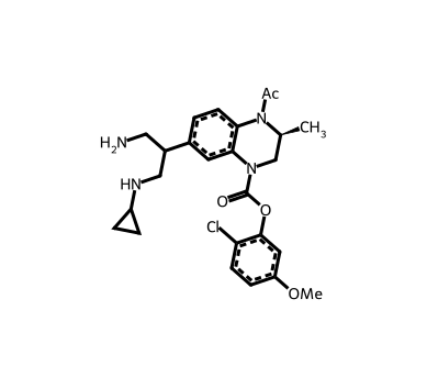 COc1ccc(Cl)c(OC(=O)N2C[C@H](C)N(C(C)=O)c3ccc(C(CN)CNC4CC4)cc32)c1